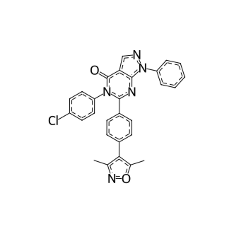 Cc1noc(C)c1-c1ccc(-c2nc3c(cnn3-c3ccccc3)c(=O)n2-c2ccc(Cl)cc2)cc1